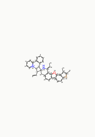 C=CC1C2C(c3ccccc3-c3cccc[n+]32)C12Cc1ccc3c(oc4c3ccc3sc(C)c(C)c34)c1/C(=C/C)N2